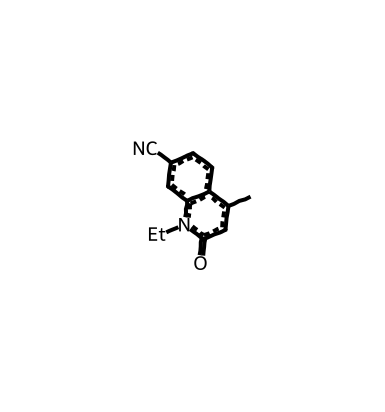 CCn1c(=O)cc(C)c2ccc(C#N)cc21